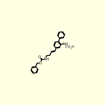 O=C(O)Nc1cc(/C=C/CCNC(=O)OCc2ccccc2)ccc1-c1ccccc1